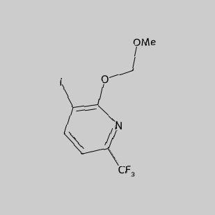 COCOc1nc(C(F)(F)F)ccc1I